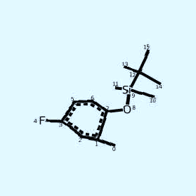 Cc1cc(F)ccc1O[Si](C)(C)C(C)(C)C